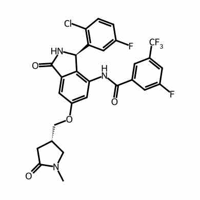 CN1C[C@@H](COc2cc(NC(=O)c3cc(F)cc(C(F)(F)F)c3)c3c(c2)C(=O)N[C@H]3c2cc(F)ccc2Cl)CC1=O